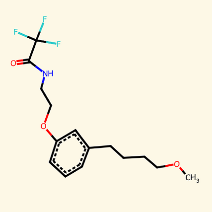 COCCCCc1cccc(OCCNC(=O)C(F)(F)F)c1